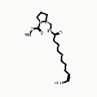 CCCCCCCC/C=C\CCCCCCCC(=O)NC[C@@H]1CCCN1C(=O)OC(C)(C)C